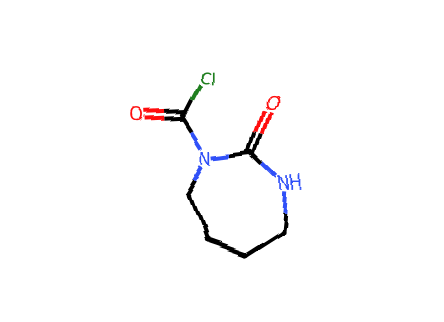 O=C(Cl)N1CCCCNC1=O